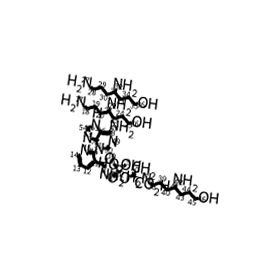 C=C(OP(=O)(O)O)C(=O)O.NC(=O)c1cccnc1.NCCCC(N)CCCO.NCCCC(N)CCCO.NCCCC(N)CCCO.Nc1ncnc2nc[nH]c12